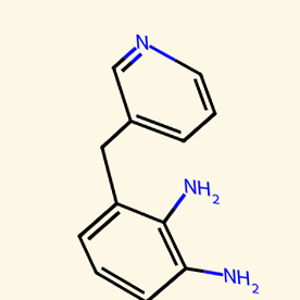 Nc1cccc(Cc2cccnc2)c1N